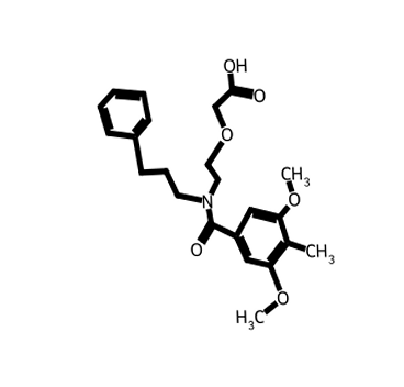 COc1cc(C(=O)N(CCCc2ccccc2)CCOCC(=O)O)cc(OC)c1C